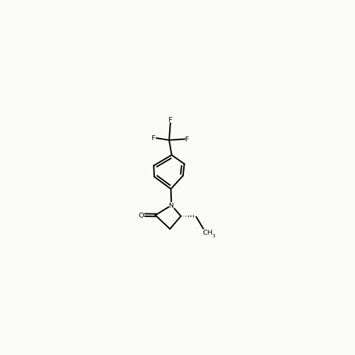 CC[C@@H]1CC(=O)N1c1ccc(C(F)(F)F)cc1